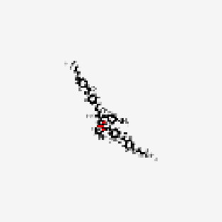 C=CCCOC1CCC(C(=O)Oc2ccc(/C=C/C(=O)C(O)C(Cc3ccc(N)cc3)(Cc3ccc(N)cc3)C(O)C(=O)/C=C/c3ccc(OC(=O)C4CCC(OCCC=C)CC4)cc3)cc2)CC1